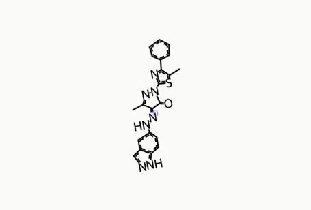 CC1=NN(c2nc(-c3ccccc3)c(C)s2)C(=O)/C1=N/Nc1ccc2[nH]ncc2c1